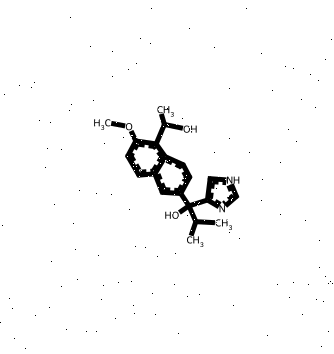 COc1ccc2cc(C(O)(c3c[nH]cn3)C(C)C)ccc2c1C(C)O